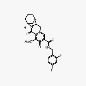 COc1c2n(cc(C(=O)NCc3ccc(F)cc3F)c1=O)CC1N3CCC[C@@H](C3)N1C2=O